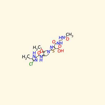 CCO[C@H]1CN(c2nc(C(=O)NCCNC(C)=O)c(C(=O)O)s2)CC[C@H]1NC(=O)c1nc(Cl)c(CC)[nH]1